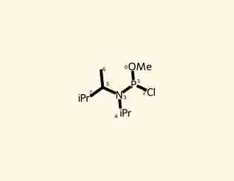 COP(Cl)N(C(C)C)C(C)C(C)C